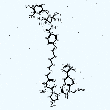 CNC[C@@H](NC(=O)[C@@H]1C[C@@H](O)CN1C(=O)[C@@H](NC(=O)COCCCCCOc1ccc(C(=O)N[C@H]2C(C)(C)[C@H](Oc3ccc(C#N)c(Cl)c3)C2(C)C)cc1)C(C)(C)C)c1ccc(-c2scnc2C)cc1